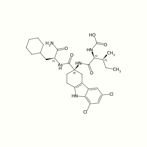 CC[C@H](C)[C@H](NC(=O)O)C(=O)N[C@]1(C(=O)[AsH][C@@H](CC2CCCCC2)C(N)=O)CCc2[nH]c3c(Cl)cc(Cl)cc3c2C1